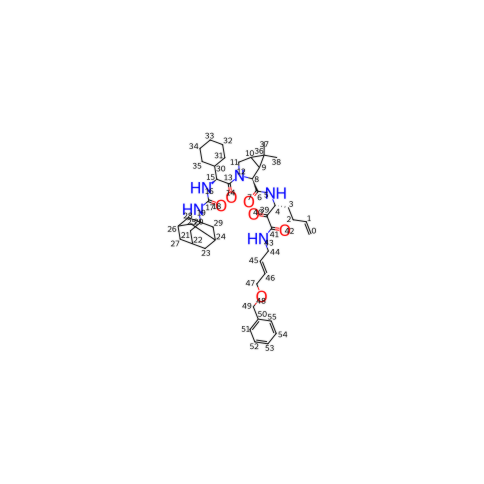 C=CCC[C@@H](NC(=O)[C@@H]1C2C(CN1C(=O)[C@@H](NC(=O)NC13CC4CC(CC(C4)C1)C3)C1CCCCC1)C2(C)C)C(=O)C(=O)NC/C=C/COCc1ccccc1